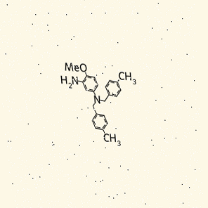 COc1ccc(N(Cc2ccc(C)cc2)Cc2ccc(C)cc2)cc1N